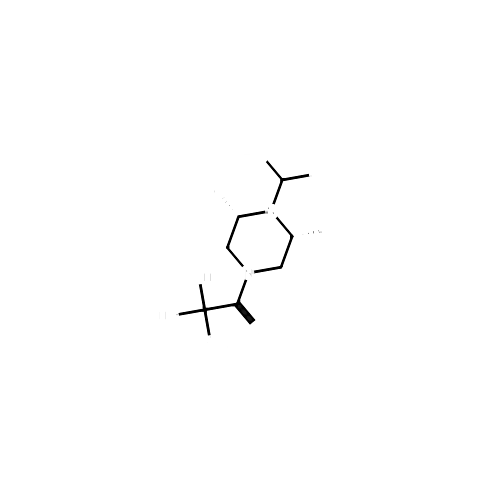 CC(C)N1[C@H](C)CN(C(=O)C(C)(C)O)C[C@@H]1C